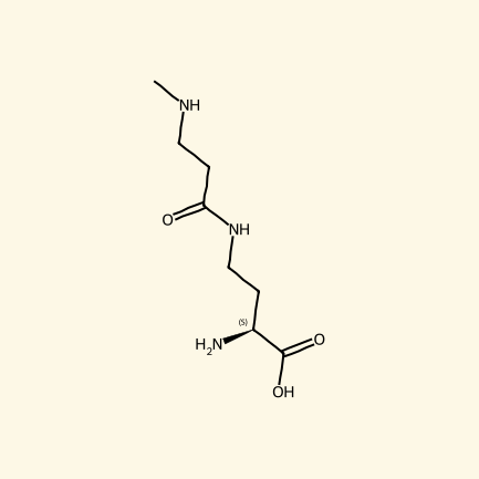 CNCCC(=O)NCC[C@H](N)C(=O)O